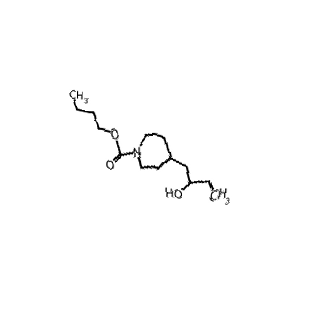 CCCCOC(=O)N1CCC(CC(O)CC)CC1